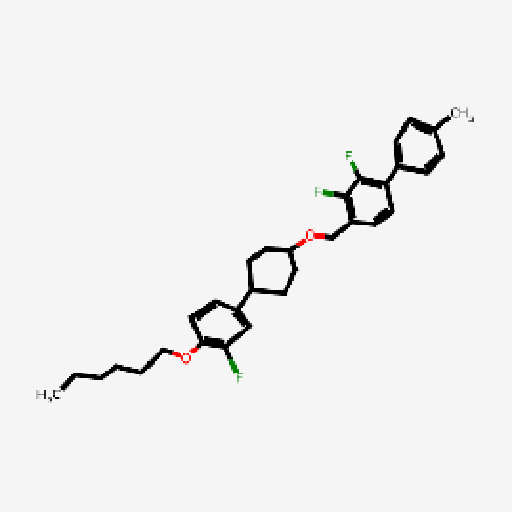 CCCCCCOc1ccc(C2CCC(OCc3ccc(-c4ccc(C)cc4)c(F)c3F)CC2)cc1F